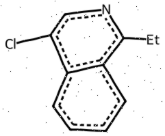 CCc1ncc(Cl)c2ccccc12